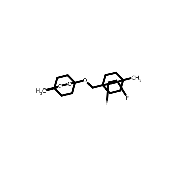 CC12CCC(OCC34CCC(C)(CC3)C(F)=C4F)(CC1)CC2